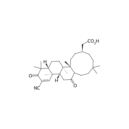 CC1(C)CCC2C(=O)C[C@@H]3[C@@]4(C)C=C(C#N)C(=O)C(C)(C)[C@@H]4CC[C@@]3(C)[C@]2(C)CC[C@@H](CC(=O)O)CC1